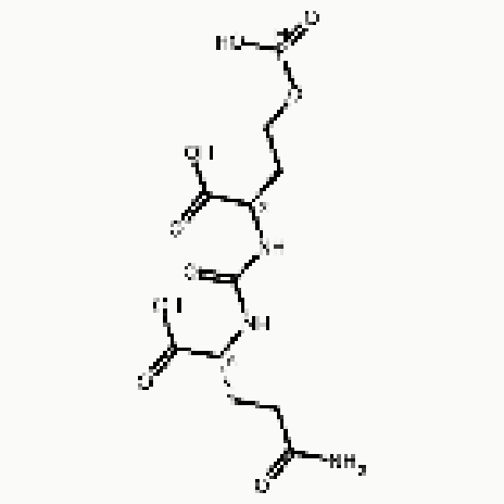 NC(=O)CC[C@@H](NC(=O)N[C@H](CCO[PH](=O)O)C(=O)O)C(=O)O